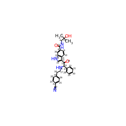 CC(C)(O)CNC(=O)c1ccc2c(C(=O)C(NCCc3ccc(C#N)cc3)c3ccccc3)c[nH]c2c1